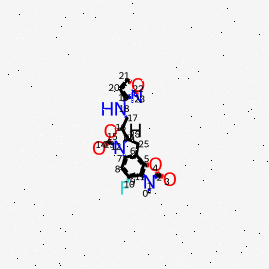 Cn1c(=O)oc2c3c(cc(F)c21)N1C(=O)OC(CNc2ccon2)[C@@H]1C3